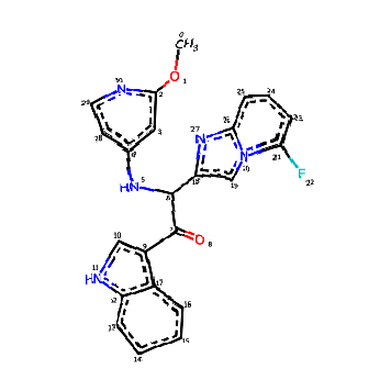 COc1cc(NC(C(=O)c2c[nH]c3ccccc23)c2cn3c(F)cccc3n2)ccn1